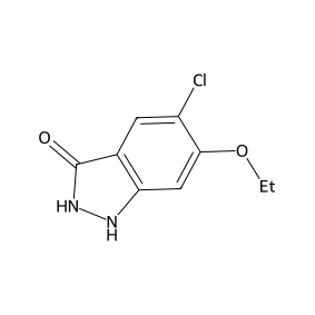 CCOc1cc2[nH][nH]c(=O)c2cc1Cl